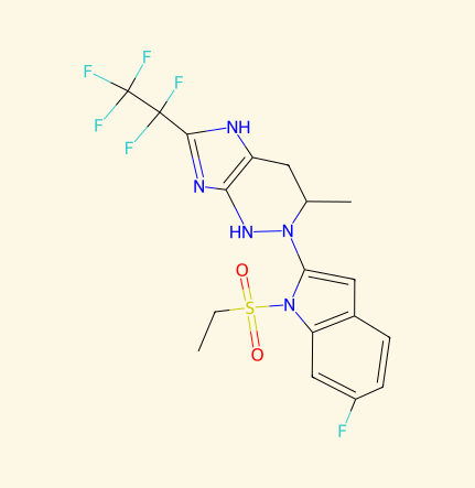 CCS(=O)(=O)n1c(N2Nc3nc(C(F)(F)C(F)(F)F)[nH]c3CC2C)cc2ccc(F)cc21